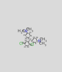 CN(C)c1ccc(C(c2ccc(N(C)C)cc2)c2cc(Cl)ccc2Cl)cc1